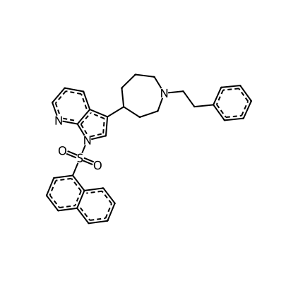 O=S(=O)(c1cccc2ccccc12)n1cc(C2CCCN(CCc3ccccc3)CC2)c2cccnc21